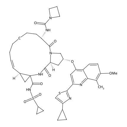 COc1ccc2c(O[C@@H]3C[C@H]4C(=O)NC5(C(=O)NS(=O)(=O)C6CC6)C[C@H]5/C=C\CCCCC[C@H](NC(=O)N5CCC5)C(=O)N4C3)cc(-c3nc(C4CC4)cs3)nc2c1C